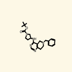 CC(C)(C)OC(=O)N1CCC(Nc2ncnc3c2CN(Cc2ccccc2)CC3)C1